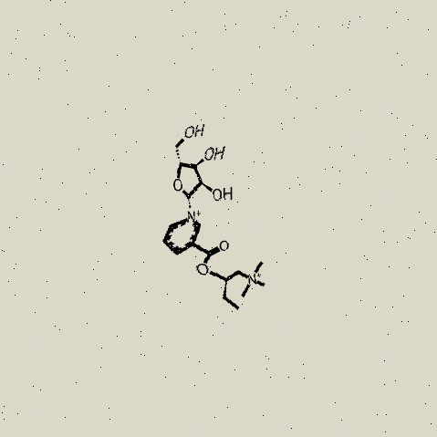 CC[C@H](C[N+](C)(C)C)OC(=O)c1ccc[n+]([C@@H]2O[C@H](CO)[C@@H](O)[C@H]2O)c1